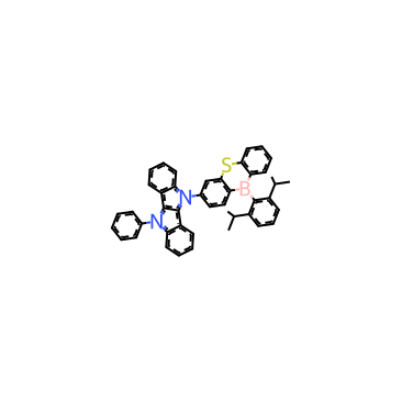 CC(C)c1cccc(C(C)C)c1B1c2ccccc2Sc2cc(-n3c4ccccc4c4c3c3ccccc3n4-c3ccccc3)ccc21